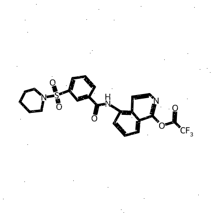 O=C(Nc1cccc2c(OC(=O)C(F)(F)F)nccc12)c1cccc(S(=O)(=O)N2CCCCC2)c1